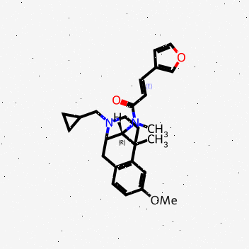 COc1ccc2c(c1)C1(C)CCN(CC3CC3)C(C2)[C@@H]1N(C)C(=O)/C=C/c1ccoc1